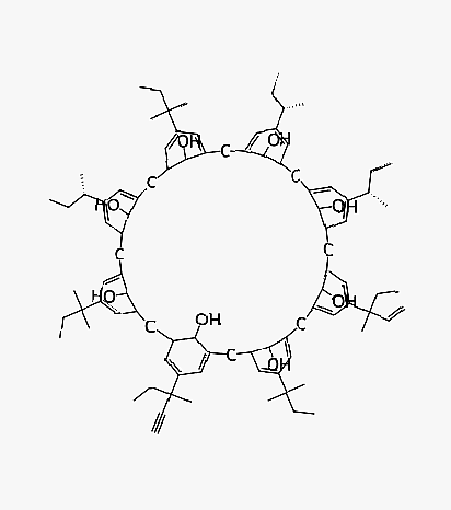 C#CC(C)(CC)C1=CC2CC3C=C(C(C)(C)CC)C=C(CC4C=C([C@@H](C)CC)C=C(CC5C=C(C(C)(C)CC)C=C(CC6=CC([C@@H](C)CC)=CC(CC7=CC([C@@H](C)CC)=CC(CC8C=C(C(C)(C=C)CC)C=C(CC9=CC(C(C)(C)CC)=CC(CC(=C1)C2O)C9O)C8O)C7O)C6O)C5O)C4O)C3O